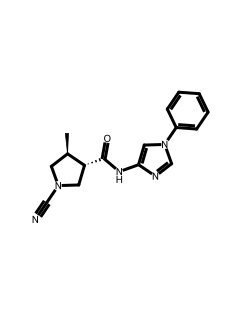 C[C@@H]1CN(C#N)C[C@H]1C(=O)Nc1cn(-c2ccccc2)cn1